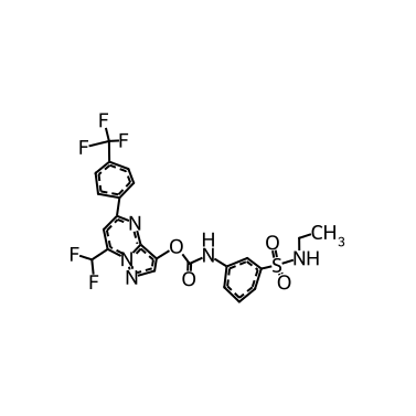 CCNS(=O)(=O)c1cccc(NC(=O)Oc2cnn3c(C(F)F)cc(-c4ccc(C(F)(F)F)cc4)nc23)c1